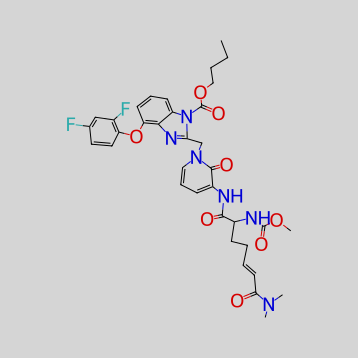 CCCCOC(=O)n1c(Cn2cccc(NC(=O)C(CCC=CC(=O)N(C)C)NC(=O)OC)c2=O)nc2c(Oc3ccc(F)cc3F)cccc21